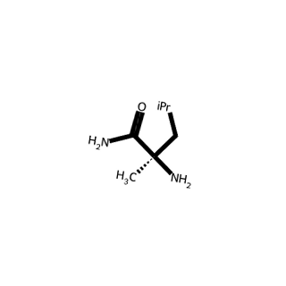 CC(C)C[C@@](C)(N)C(N)=O